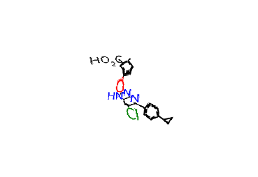 Cc1ccc(OC2=NC3N=C(c4ccc(C5CC5)cc4)C(Cl)=CC3N2)cc1C(=O)O